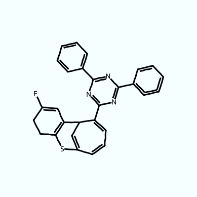 FC1=CC2=C(CC1)SC1=CC2C(c2nc(C3=C=C=CC=C3)nc(-c3ccccc3)n2)=CC=C1